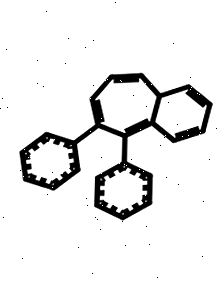 C1=CC2=C(c3ccccc3)C(c3ccccc3)=CC=CC2C=C1